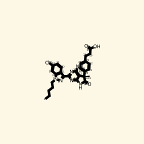 CCCCCn1nc(-c2nc(N)c3c(n2)NC(=O)[C@@]3(C)c2ccc(CCC(=O)O)cc2)c2ccc(Cl)cc21